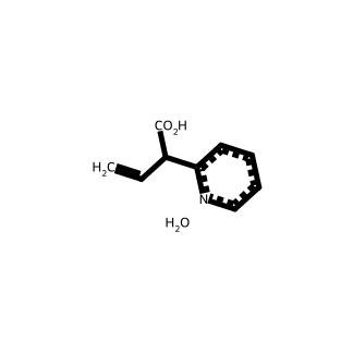 C=CC(C(=O)O)c1ccccn1.O